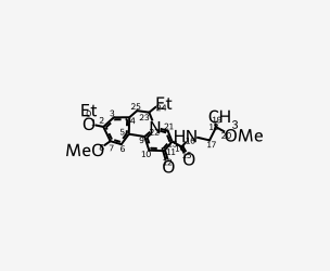 CCOc1cc2c(cc1OC)-c1cc(=O)c(C(=O)NCC(C)OC)cn1C(CC)C2